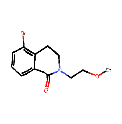 CCOCCN1CCc2c(Br)cccc2C1=O